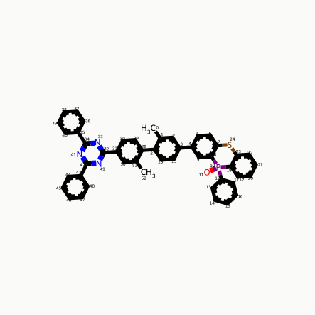 Cc1cc(-c2ccc3c(c2)P(=O)(c2ccccc2)c2ccccc2S3)ccc1-c1ccc(-c2nc(-c3ccccc3)nc(-c3ccccc3)n2)cc1C